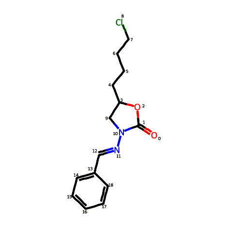 O=C1OC(CCCCCl)CN1/N=C/c1ccccc1